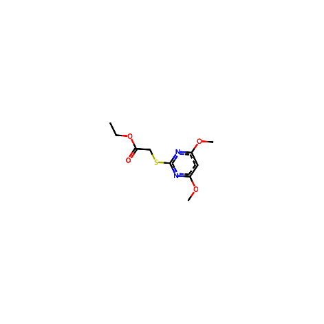 CCOC(=O)CSc1nc(OC)cc(OC)n1